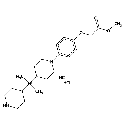 COC(=O)COc1ccc(N2CCC([N+](C)(C)C3CCNCC3)CC2)cc1.Cl.Cl